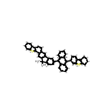 CC1(C)c2ccc(-c3c4ccccc4c(-c4ccc5c(c4)sc4ccccc45)c4ccccc34)cc2-c2cc3ccc4c5ccccc5sc4c3cc21